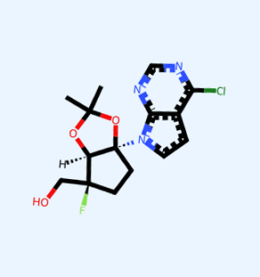 CC1(C)O[C@@H]2[C@@](F)(CO)CC[C@]2(n2ccc3c(Cl)ncnc32)O1